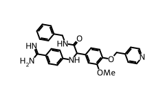 COc1cc(C(Nc2ccc(C(=N)N)cc2)C(=O)NCc2ccccc2)ccc1OCc1ccncc1